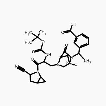 CC(c1cccc(C(=O)O)c1)N1C(=O)C2C[C@H]1CN2CC(NC(=O)OC(C)(C)C)C(=O)N1C(C#N)CC2CC21